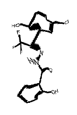 O=C(NN=C(c1cc(Cl)ccc1O)C(F)(F)F)c1ccccc1O